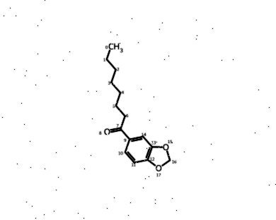 CCCCCCCC(=O)c1ccc2c(c1)OCO2